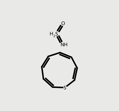 N=[SH2]=O.c1ccccsccc1